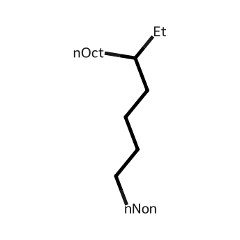 CCCCCCCCCCCCCC(CC)CCCCCCCC